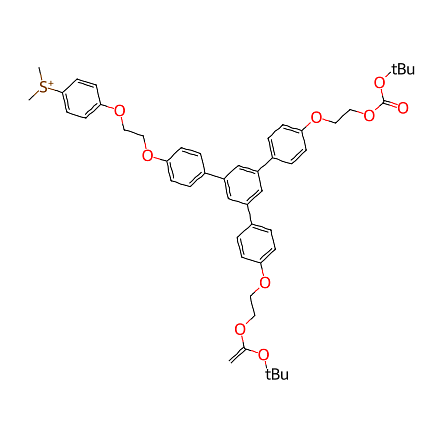 C=C(OCCOc1ccc(-c2cc(-c3ccc(OCCOC(=O)OC(C)(C)C)cc3)cc(-c3ccc(OCCOc4ccc([S+](C)C)cc4)cc3)c2)cc1)OC(C)(C)C